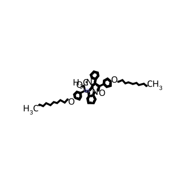 CCCCCCCCCCOc1ccc(/C(C=O)=c2\c3ccccc3n3c(=O)c(-c4ccc(OCCCCCCCCCC)cc4)c4c5ccccc5n(C)c4c23)cc1